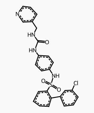 O=C(NCc1cccnc1)Nc1ccc(NS(=O)(=O)c2ccccc2-c2cccc(Cl)c2)cc1